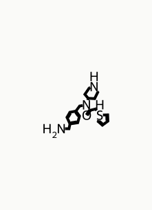 NCc1ccc(CN(C(=O)C[SH]2C=CC=C2)C2CCNCC2)cc1